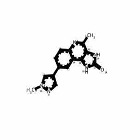 Cc1nc2ccc(-c3cnn(C)c3)cc2c2[nH]c(=O)[nH]c12